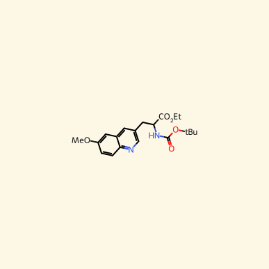 CCOC(=O)C(Cc1cnc2ccc(OC)cc2c1)NC(=O)OC(C)(C)C